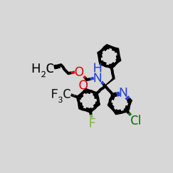 C=CCOC(=O)N[C@@](Cc1ccccc1)(c1cc(F)cc(C(F)(F)F)c1)c1ccc(Cl)cn1